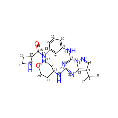 CC(C)c1cnn2c(Nc3cccc(NC(=O)C4CCN4)c3)nc(NC3CCOCC3)nc12